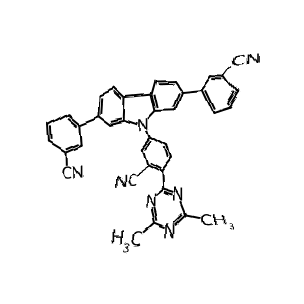 Cc1nc(C)nc(-c2ccc(-n3c4cc(-c5cccc(C#N)c5)ccc4c4ccc(-c5cccc(C#N)c5)cc43)cc2C#N)n1